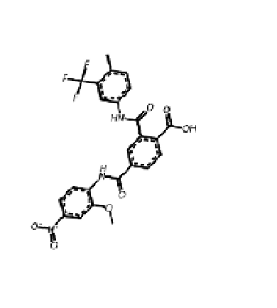 COc1cc([N+](=O)[O-])ccc1NC(=O)c1ccc(C(=O)O)c(C(=O)Nc2ccc(C)c(C(F)(F)F)c2)c1